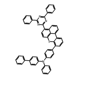 c1ccc(-c2ccc(N(c3ccccc3)c3ccc(-c4cccc5c4Sc4ccc(-c6nc(-c7ccccc7)nc(-c7ccccc7)n6)c6cccc-5c46)cc3)cc2)cc1